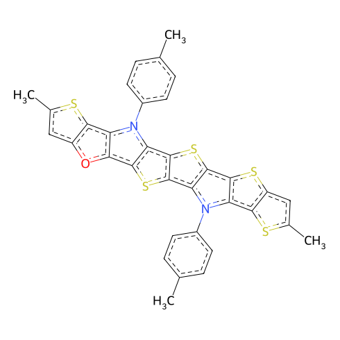 Cc1ccc(-n2c3c(oc4cc(C)sc43)c3sc4c(sc5c6sc7cc(C)sc7c6n(-c6ccc(C)cc6)c45)c32)cc1